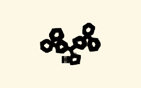 c1ccc(C2(c3ccc(C(c4ccc(C5(c6ccccc6)CCCCC5)cc4)[C@H]4CCCN4)cc3)CCCCC2)cc1